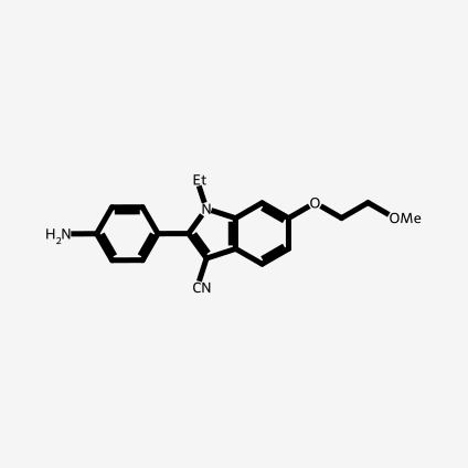 CCn1c(-c2ccc(N)cc2)c(C#N)c2ccc(OCCOC)cc21